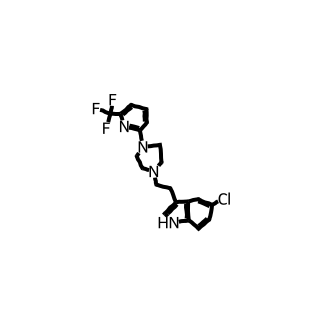 FC(F)(F)c1cccc(N2CCN(CCc3c[nH]c4ccc(Cl)cc34)CC2)n1